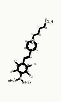 CCCCCCN(CCCCCC)c1c(F)c(F)c(C=Cc2cc[n+](CCCCS(=O)(=O)O)cc2)c(F)c1F